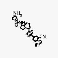 CC(C)Oc1ccc(-c2ncc(C3C=CC=C4C3CC[C@@H]4NC(=O)N3CC[C@@H](N)C3)s2)cc1C#N